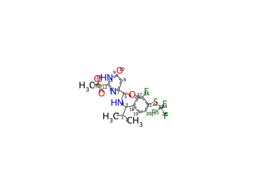 CC(C)C(NC(=O)c1cc(=O)[nH]c(S(C)(=O)=O)n1)c1ccc(SC(F)(F)F)c(F)c1